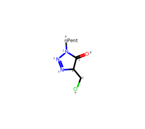 CCCCCN1N=NC(CCl)C1=O